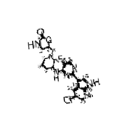 O=C1NCC(CN2CCC[C@H](Nc3nc(-c4c[nH]c5c4=CC(Cl)CN=5)ncc3F)C2)O1